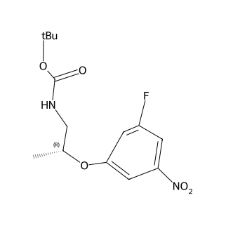 C[C@H](CNC(=O)OC(C)(C)C)Oc1cc(F)cc([N+](=O)[O-])c1